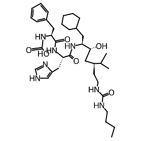 CCCCNC(=O)NCC[C@@H](C[C@@H](O)[C@H](CC1CCCCC1)NC(=O)[C@H](Cc1c[nH]cn1)NC(=O)[C@H](Cc1ccccc1)NC(=O)O)C(C)C